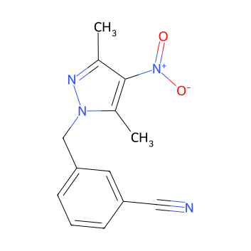 Cc1nn(Cc2cccc(C#N)c2)c(C)c1[N+](=O)[O-]